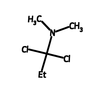 [CH2]CC(Cl)(Cl)N(C)C